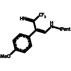 CCCC(C)N/C=C(\C(=N)C(F)(F)F)c1ccc(OC)cc1